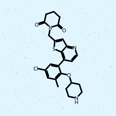 Cc1cc(Cl)cc(-c2ccnc3cc(CN4C(=O)CCCC4=O)sc23)c1OC1CCNCC1